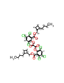 CCCCC1CCC1COC(=O)c1c(Cl)c(Cl)cc(Cl)c1OC(=O)C(=O)Oc1c(Cl)cc(Cl)c(Cl)c1C(=O)OCC1CCC1CCCC